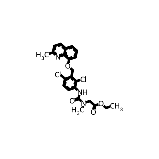 CCOC(=O)CN(C)C(=O)Nc1ccc(Cl)c(COc2cccc3ccc(C)nc23)c1Cl